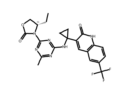 CC[C@H]1COC(=O)N1c1nc(C)nc(NC2(c3cc4cc(C(F)(F)F)ccc4[nH]c3=O)CC2)n1